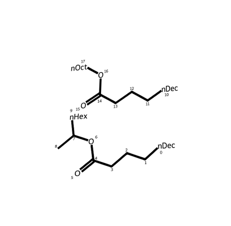 CCCCCCCCCCCCCC(=O)OC(C)CCCCCC.CCCCCCCCCCCCCC(=O)OCCCCCCCC